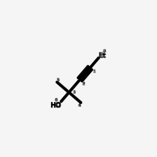 CCC#CC(C)(C)O